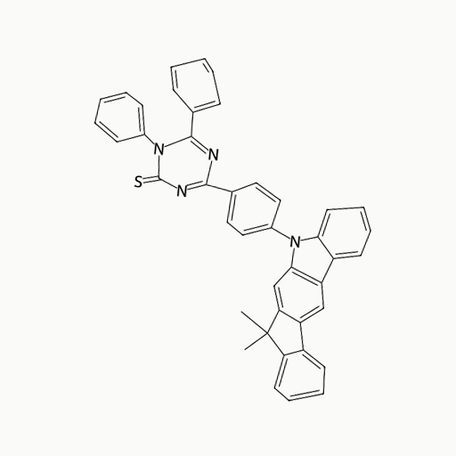 CC1(C)c2ccccc2-c2cc3c4ccccc4n(-c4ccc(-c5nc(-c6ccccc6)n(-c6ccccc6)c(=S)n5)cc4)c3cc21